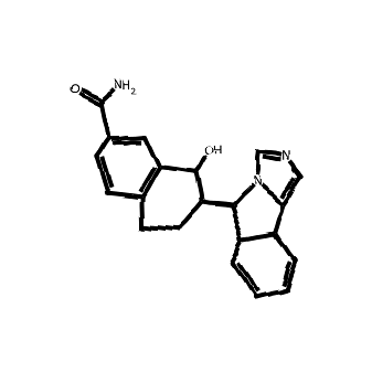 NC(=O)c1ccc2c(c1)C(O)C(C1C3C=CC=CC3c3cncn31)CC2